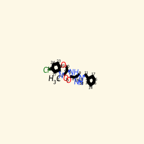 CN1C(=O)C(NC(=O)c2cn(Cc3ccccc3)nn2)COc2ccc(Cl)cc21